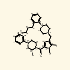 Cc1c(CN2CCN(c3ccccc3CCCN)CC2)cc(C(=O)N2CCN(c3ccccc3)C[C@H]2C)n1C